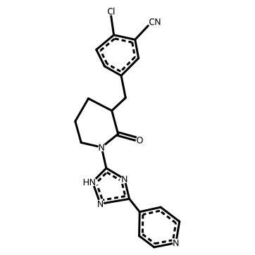 N#Cc1cc(CC2CCCN(c3nc(-c4ccncc4)n[nH]3)C2=O)ccc1Cl